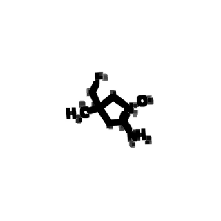 CC1(CF)CC(N)=[N+]([O-])C1